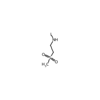 CS(=O)(=O)CCNI